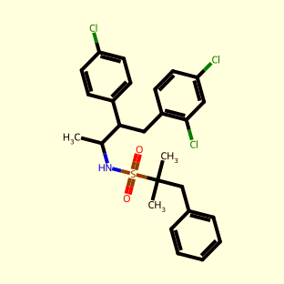 CC(NS(=O)(=O)C(C)(C)Cc1ccccc1)C(Cc1ccc(Cl)cc1Cl)c1ccc(Cl)cc1